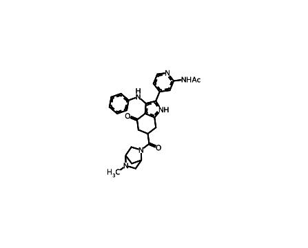 CC(=O)Nc1cc(-c2[nH]c3c(c2Nc2ccccc2)C(=O)CC(C(=O)N2CC4CC2CN4C)C3)ccn1